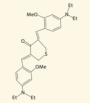 CCN(CC)c1ccc(C=C2CSCC(=Cc3ccc(N(CC)CC)cc3OC)C2=O)c(OC)c1